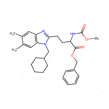 Cc1cc2nc(CCC(NC(=O)OC(C)(C)C)C(=O)OCc3ccccc3)n(CC3CCCCC3)c2cc1C